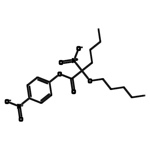 CCCCCOC(CCCC)(C(=O)Oc1ccc([N+](=O)[O-])cc1)[N+](=O)[O-]